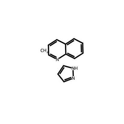 C.c1ccc2ncccc2c1.c1cn[nH]c1